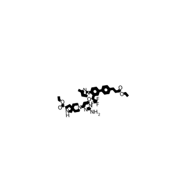 CCOC(=O)CCc1ccc(-c2ccc(-n3ccc(C)n3)c([C@@H](Oc3cc(N4CCC5(CC4)CN[C@H](C(=O)OCC)C5)nc(N)n3)C(F)(F)F)c2)cc1